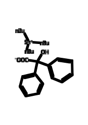 CCC[CH2][Sn+]([CH2]CCC)[CH2]CCC.O=C([O-])C(O)(c1ccccc1)c1ccccc1